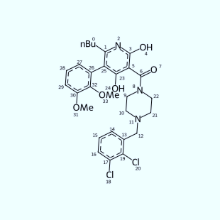 CCCCc1nc(O)c(C(=O)N2CCN(Cc3cccc(Cl)c3Cl)CC2)c(O)c1-c1cccc(OC)c1OC